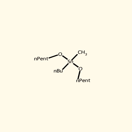 CCCCC[O][Sn]([CH3])([CH2]CCC)[O]CCCCC